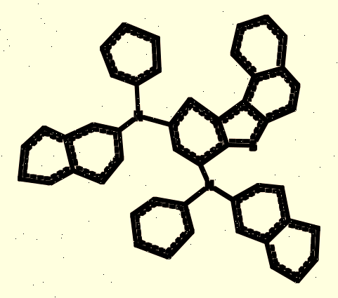 c1ccc(N(c2ccc3ccccc3c2)c2cc(N(c3ccccc3)c3ccc4ccccc4c3)c3sc4ccc5ccccc5c4c3c2)cc1